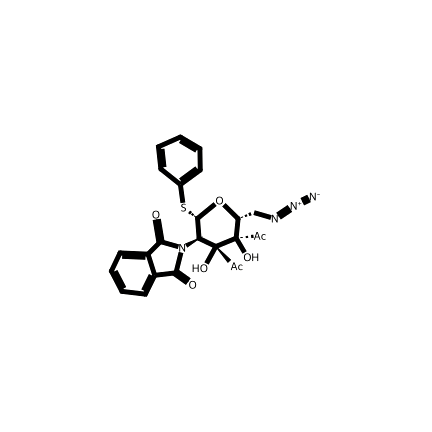 CC(=O)[C@@]1(O)[C@@H](N2C(=O)c3ccccc3C2=O)[C@H](Sc2ccccc2)O[C@H](CN=[N+]=[N-])[C@]1(O)C(C)=O